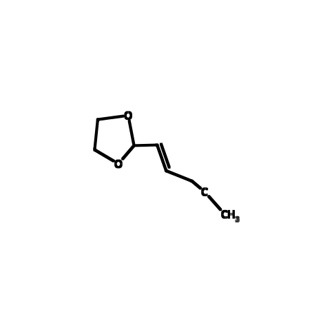 CCCC=CC1OCCO1